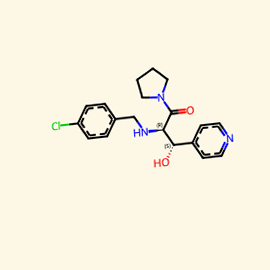 O=C([C@H](NCc1ccc(Cl)cc1)[C@@H](O)c1ccncc1)N1CCCC1